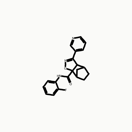 O=C(Nc1ccccc1F)C12ON=C(c3cccnc3)C1C1CCC2C1